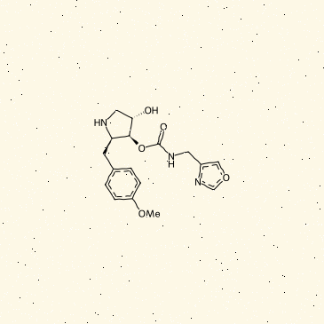 COc1ccc(C[C@H]2NC[C@H](O)[C@H]2OC(=O)NCc2cocn2)cc1